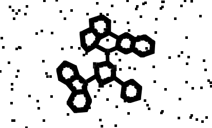 c1ccc(-c2nc(N3c4cc5ccccc5cc4-c4cccc5cccc3c45)nc(-n3c4ccccc4c4ccccc43)n2)cc1